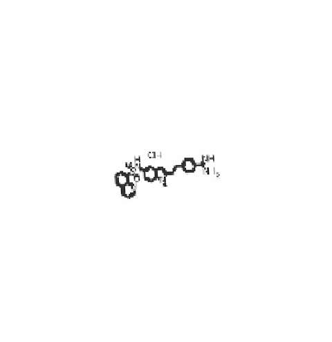 Cl.Cn1c(CCc2ccc(C(=N)N)cc2)cc2cc(NS(=O)(=O)c3cccc4cccnc34)ccc21